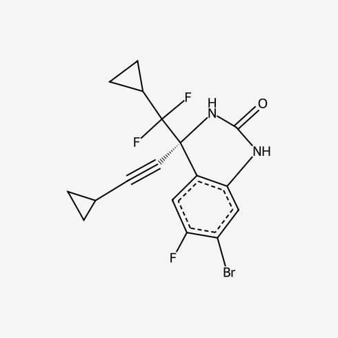 O=C1Nc2cc(Br)c(F)cc2[C@@](C#CC2CC2)(C(F)(F)C2CC2)N1